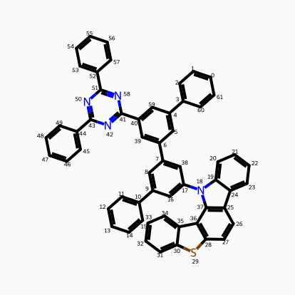 c1ccc(-c2cc(-c3cc(-c4ccccc4)cc(-n4c5ccccc5c5ccc6sc7ccccc7c6c54)c3)cc(-c3nc(-c4ccccc4)nc(-c4ccccc4)n3)c2)cc1